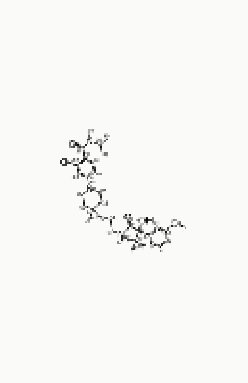 COc1cccc([C@@](O)(C(=O)N(C)CCC2CC23CCN(c2ccc(C(=O)N(C)C(C)C)c(Cl)c2)CC3)C(F)(F)F)c1